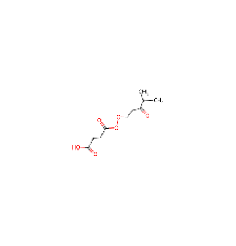 CC(C)C(=O)CCOOC(=O)CCC(=O)O